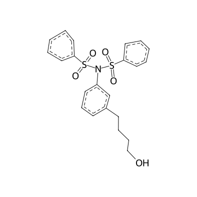 O=S(=O)(c1ccccc1)N(c1cccc(CCCCO)c1)S(=O)(=O)c1ccccc1